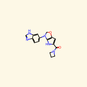 O=C(c1cc2c([nH]1)N(c1ccc3nc[nH]c3c1)CO2)N1CCC1